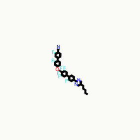 CCCCCc1cnc(-c2ccc(-c3cc(F)c(C(F)(F)Oc4ccc(-c5ccc(C#N)c(F)c5)c(F)c4)c(F)c3)c(F)c2)nc1